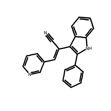 N#CC(=Cc1cccnc1)c1c(-c2ccccc2)[nH]c2ccccc12